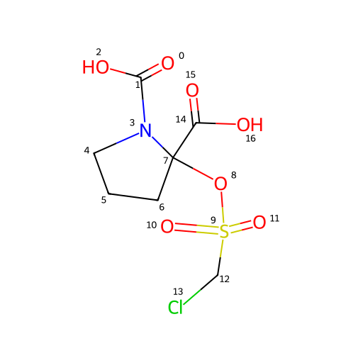 O=C(O)N1CCCC1(OS(=O)(=O)CCl)C(=O)O